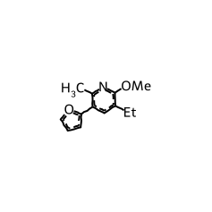 CCc1cc(-c2ccco2)c(C)nc1OC